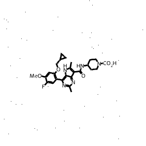 COc1cc(OCC2CC2)c(-c2nc(C)nc3c(C(=O)NC4CCN(C(=O)O)CC4)c(C)[nH]c23)cc1F